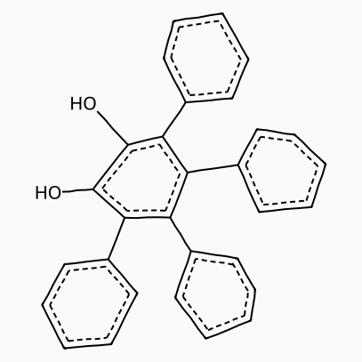 Oc1c(O)c(-c2ccccc2)c(-c2ccccc2)c(-c2ccccc2)c1-c1ccccc1